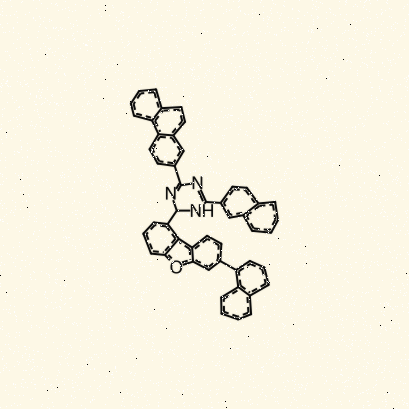 c1ccc2cc(C3=NC(c4ccc5c(ccc6ccccc65)c4)=NC(c4cccc5oc6cc(-c7cccc8ccccc78)ccc6c45)N3)ccc2c1